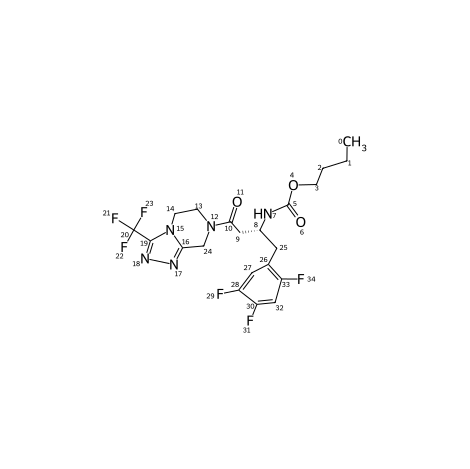 CCCCOC(=O)N[C@@H](CC(=O)N1CCn2c(nnc2C(F)(F)F)C1)Cc1cc(F)c(F)cc1F